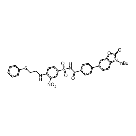 CCCCn1c(=O)oc2cc(-c3ccc(C(=O)NS(=O)(=O)c4ccc(NCCSc5ccccc5)c([N+](=O)[O-])c4)cc3)ccc21